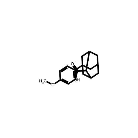 COc1ccc(C23CC4CC(C2)C(C(=O)O)C(C4)C3)cc1